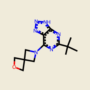 CC(C)(C)c1nc(N2CC3(COC3)C2)c2nn[nH]c2n1